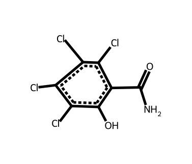 NC(=O)c1c(O)c(Cl)c(Cl)c(Cl)c1Cl